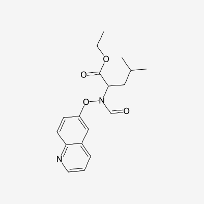 CCOC(=O)C(CC(C)C)N(C=O)Oc1ccc2ncccc2c1